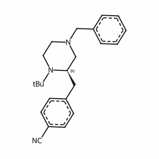 CC(C)(C)N1CCN(Cc2ccccc2)C[C@H]1Cc1ccc(C#N)cc1